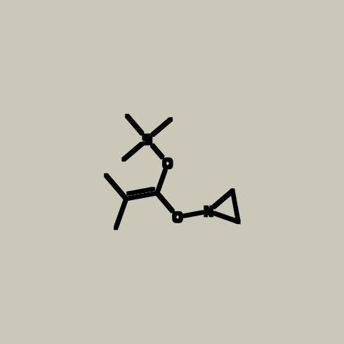 CC(C)=C(ON1CC1)O[Si](C)(C)C